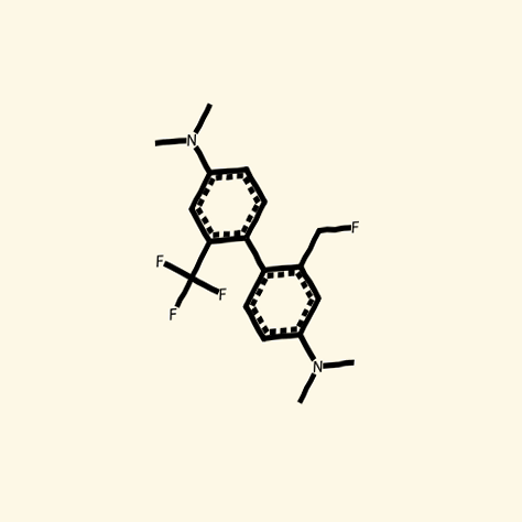 CN(C)c1ccc(-c2ccc(N(C)C)cc2C(F)(F)F)c(CF)c1